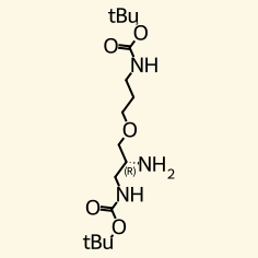 CC(C)(C)OC(=O)NCCCOC[C@H](N)CNC(=O)OC(C)(C)C